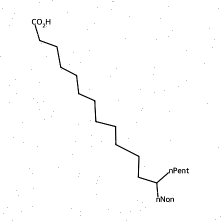 CCCCCCCCCC(CCCCC)CCCCCCCCCCCC(=O)O